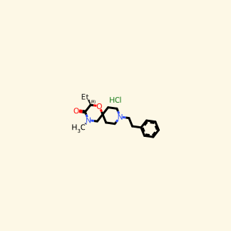 CC[C@H]1OC2(CCN(CCc3ccccc3)CC2)CN(C)C1=O.Cl